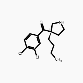 CCCC[C@]1(C(=O)c2ccc(Cl)c(Cl)c2)CCNC1